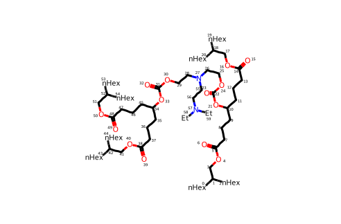 CCCCCCC(CCCCCC)COC(=O)CCCC(CCCC(=O)OCC(CCCCCC)CCCCCC)OC(=O)OCCN(CCOC(=O)OC(CCCC(=O)OCC(CCCCCC)CCCCCC)CCCC(=O)OCC(CCCCCC)CCCCCC)CCN(CC)CC